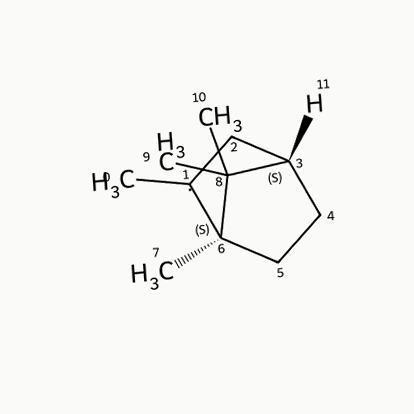 C[C]1C[C@@H]2CC[C@]1(C)C2(C)C